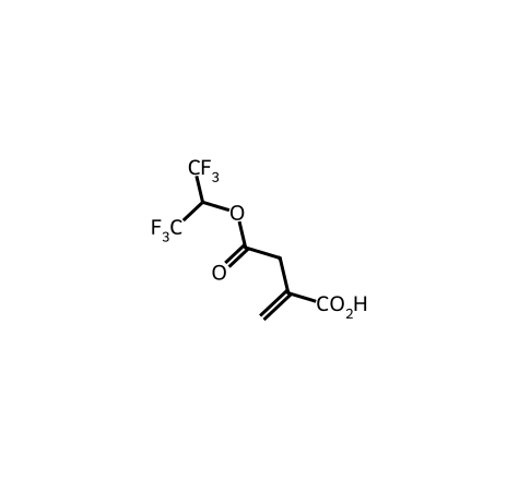 C=C(CC(=O)OC(C(F)(F)F)C(F)(F)F)C(=O)O